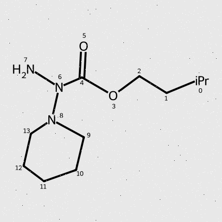 CC(C)CCOC(=O)N(N)N1CCCCC1